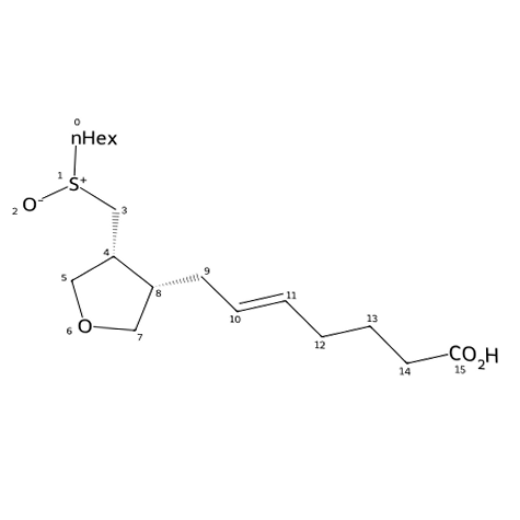 CCCCCC[S+]([O-])C[C@H]1COC[C@H]1CC=CCCCC(=O)O